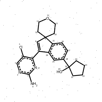 Nc1ncc(Cl)c(C2=CC3(CCOCC3)c3ccc(C4(O)CCCC4)cc32)n1